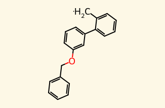 [CH2]c1ccccc1-c1cccc(OCc2ccccc2)c1